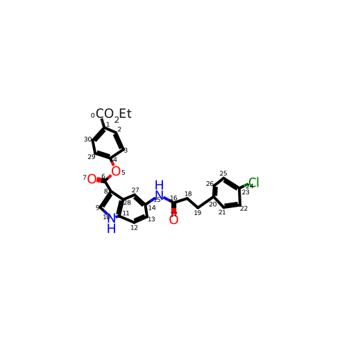 CCOC(=O)c1ccc(OC(=O)c2c[nH]c3ccc(NC(=O)CCc4ccc(Cl)cc4)cc23)cc1